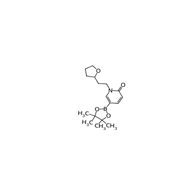 CC1(C)OB(c2ccc(=O)n(CCC3CCCO3)c2)OC1(C)C